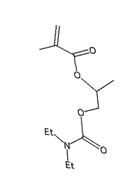 C=C(C)C(=O)OC(C)COC(=O)N(CC)CC